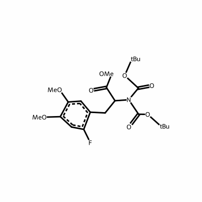 COC(=O)C(Cc1cc(OC)c(OC)cc1F)N(C(=O)OC(C)(C)C)C(=O)OC(C)(C)C